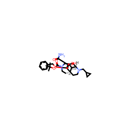 CC(C)(C)OC(=O)N1CC[C@]23CCN(CC4CC4)[C@H](Cc4cc(C(N)=O)c(OCc5ccccc5)cc42)[C@]3(O)CC1